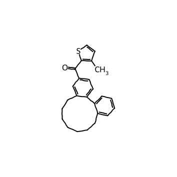 Cc1ccsc1C(=O)c1ccc2c(c1)CCCCCCCc1ccccc1-2